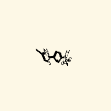 Cc1csc(-c2ccc(NS(C)(=O)=O)cc2)n1